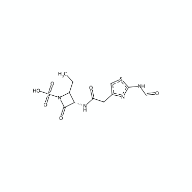 CCC1[C@H](NC(=O)Cc2csc(NC=O)n2)C(=O)N1S(=O)(=O)O